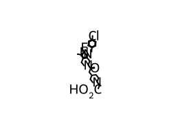 Cc1nn(Cc2ccc(Cl)cc2F)c2c1CCN(C(=O)CC1CCN(CC(=O)O)CC1)C2